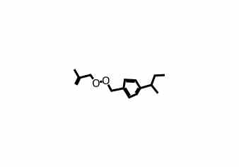 C=C(C)COOCc1ccc(C(C)CC)cc1